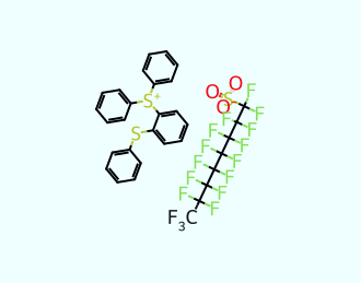 O=S(=O)([O-])C(F)(F)C(F)(F)C(F)(F)C(F)(F)C(F)(F)C(F)(F)C(F)(F)C(F)(F)F.c1ccc(Sc2ccccc2[S+](c2ccccc2)c2ccccc2)cc1